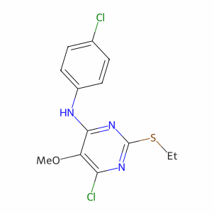 CCSc1nc(Cl)c(OC)c(Nc2ccc(Cl)cc2)n1